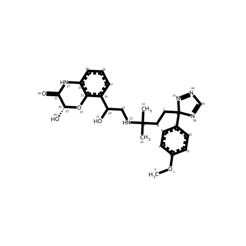 COc1ccc(C2(CCC(C)(C)NCC(O)c3cccc4c3O[C@H](O)C(=O)N4)N=CN=N2)cc1